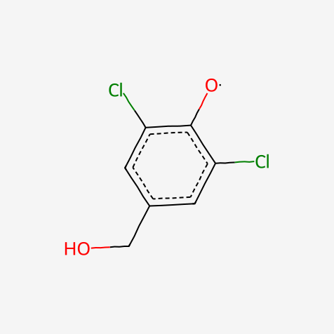 [O]c1c(Cl)cc(CO)cc1Cl